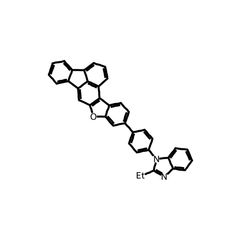 CCc1nc2ccccc2n1-c1ccc(-c2ccc3c(c2)oc2cc4c5c(cccc5c23)-c2ccccc2-4)cc1